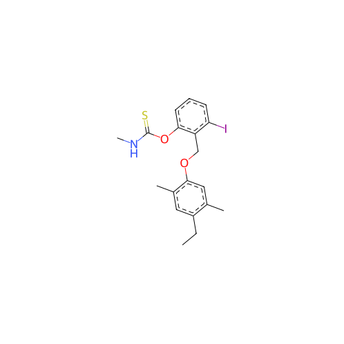 CCc1cc(C)c(OCc2c(I)cccc2OC(=S)NC)cc1C